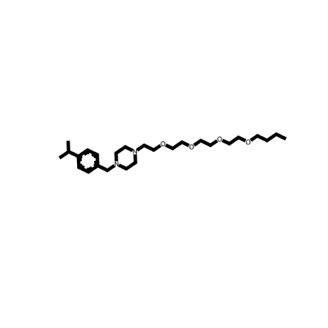 CCCCOCCOCCOCCOCCN1CCN(Cc2ccc(C(C)C)cc2)CC1